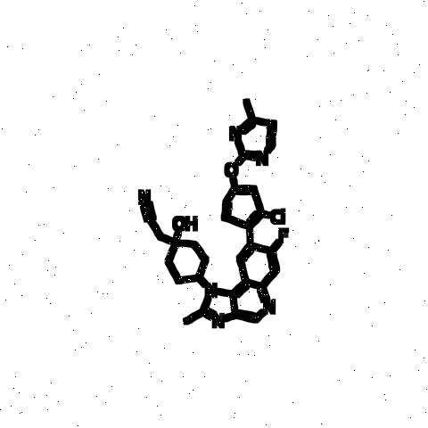 Cc1ccnc(Oc2ccc(-c3cc4c(cc3F)ncc3nc(C)n(C5CCC(O)(CC#N)CC5)c34)c(Cl)c2)n1